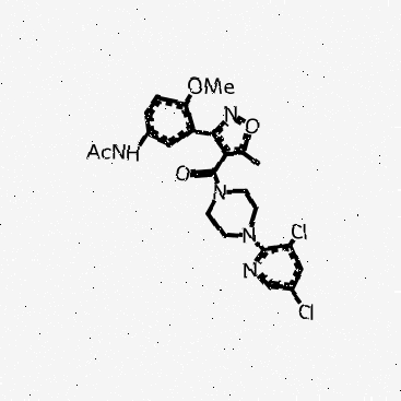 COc1ccc(NC(C)=O)cc1-c1noc(C)c1C(=O)N1CCN(c2ncc(Cl)cc2Cl)CC1